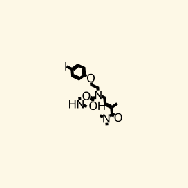 C/C(=C\CN(CCOc1ccc(I)cc1)C(=O)O)C(=O)N(C)C.CNC